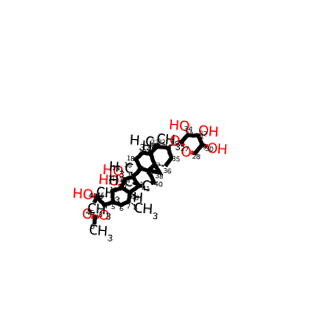 CC(=O)O[C@@H](C1C[C@@H](C)[C@H]2[C@@](O)(C1)[C@H](O)[C@@]1(C)C3CC[C@H]4C(C)(C)[C@@H](O[C@@H]5OCC(O)[C@H](O)[C@H]5O)CC[C@@]45CC35CC[C@]21C)C(C)(C)O